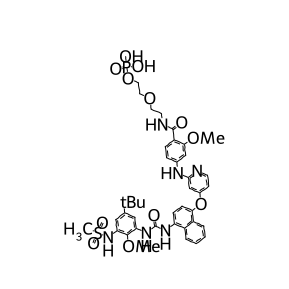 COc1cc(Nc2cc(Oc3ccc(NC(=O)Nc4cc(C(C)(C)C)cc(NS(C)(=O)=O)c4OC)c4ccccc34)ccn2)ccc1C(=O)NCCOCCOP(=O)(O)O